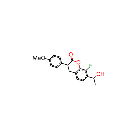 COc1ccc(C2Cc3ccc(C(C)O)c(F)c3OC2=O)cc1